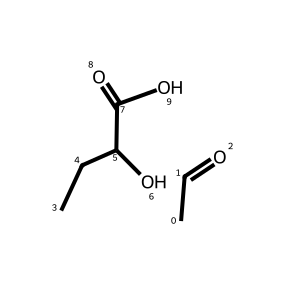 CC=O.CCC(O)C(=O)O